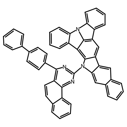 c1ccc(-c2ccc(-c3nc(-n4c5cc6ccccc6cc5c5cc6c7ccccc7n7c8ccccc8c(c54)c67)nc4c3ccc3ccccc34)cc2)cc1